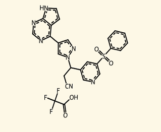 N#CCC(c1cncc(S(=O)(=O)c2ccccc2)c1)n1cc(-c2ncnc3[nH]ccc23)cn1.O=C(O)C(F)(F)F